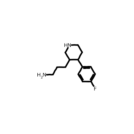 NCCCC1CNCCC1c1ccc(F)cc1